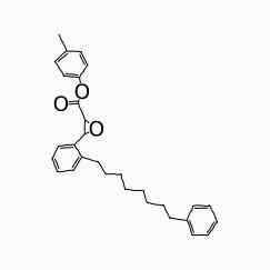 Cc1ccc(OC(=O)C2OC2c2ccccc2CCCCCCCCc2ccccc2)cc1